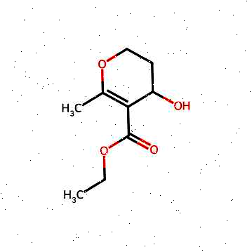 CCOC(=O)C1=C(C)OCCC1O